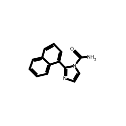 NC(=O)n1ccnc1-c1cccc2ccccc12